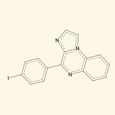 Ic1ccc(-c2nc3ccccc3n3ccnc23)cc1